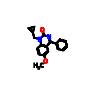 COc1ccc2c(c1)c(-c1ccccc1)nc(=O)n2CC1CC1